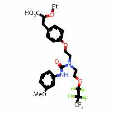 CCOC(Cc1ccc(OCCN(CCOC(F)(F)C(F)(F)C(F)(F)F)C(=O)Nc2cccc(OC)c2)cc1)C(=O)O